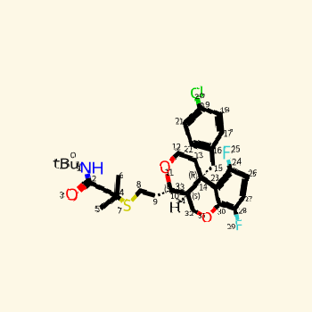 CC(C)(C)NC(=O)C(C)(C)SCC[C@@H]1OCC[C@@]2(Cc3ccc(Cl)cc3)c3c(F)ccc(F)c3OC[C@@H]12